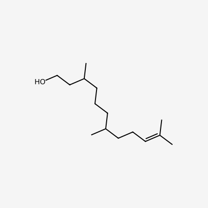 CC(C)=CCCC(C)CCCC(C)CCO